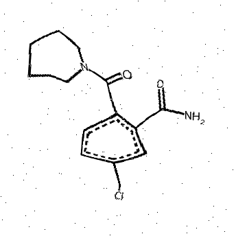 NC(=O)c1cc(Cl)ccc1C(=O)N1CCCCC1